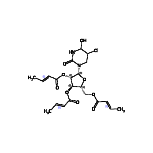 C/C=C/C(=O)OC[C@H]1O[C@@H](N2CC(Cl)C(O)NC2=O)[C@@H](OC(=O)/C=C/C)[C@@H]1OC(=O)/C=C/C